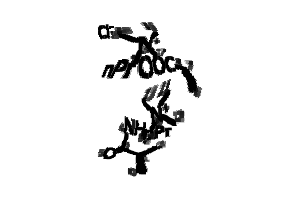 C=C(C)C(N)=O.C=CC(=O)[O-].CCC[N+](C)(C)C.CCC[N+](C)(C)C.[Cl-]